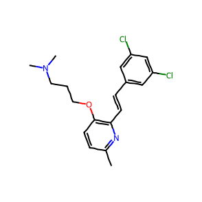 Cc1ccc(OCCCN(C)C)c(/C=C/c2cc(Cl)cc(Cl)c2)n1